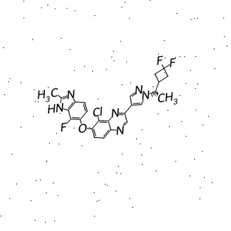 Cc1nc2ccc(Oc3ccc4ncc(-c5cnn([C@H](C)C6CC(F)(F)C6)c5)nc4c3Cl)c(F)c2[nH]1